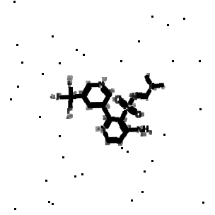 CN(C)C=NS(=O)(=O)c1c(N)ccnc1-c1cncc(C(F)(F)F)c1